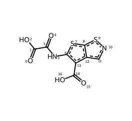 O=C(O)C(=O)Nc1sc2sncc2c1C(=O)O